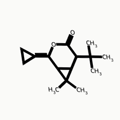 CC(C)(C)C1C(=O)OC(=C2CC2)C2C1C2(C)C